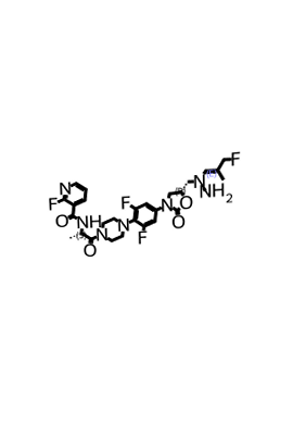 C/C(=C\N(N)C[C@H]1CN(c2cc(F)c(N3CCN(C(=O)[C@H](C)NC(=O)c4cccnc4F)CC3)c(F)c2)C(=O)O1)CF